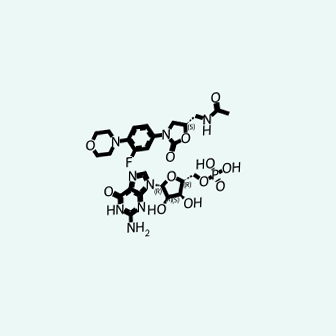 CC(=O)NC[C@H]1CN(c2ccc(N3CCOCC3)c(F)c2)C(=O)O1.Nc1nc2c(ncn2[C@@H]2O[C@H](COP(=O)(O)O)[C@@H](O)[C@H]2O)c(=O)[nH]1